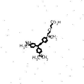 CN(C)c1ccc(C(C#Cc2ccc(N(C)CCOCCCC(=O)O)cc2)=C2C=CC(=[N+](C)C)C=C2)cc1